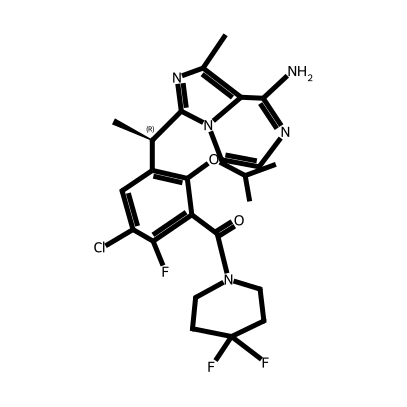 Cc1nc([C@H](C)c2cc(Cl)c(F)c(C(=O)N3CCC(F)(F)CC3)c2OC(C)C)n2ccnc(N)c12